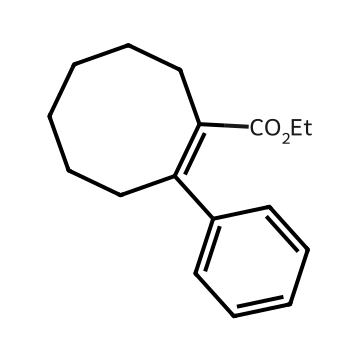 CCOC(=O)C1=C(c2ccccc2)CCCCCC1